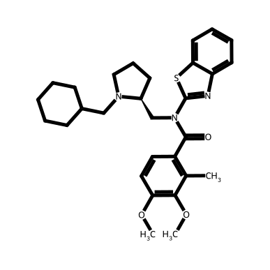 COc1ccc(C(=O)N(C[C@@H]2CCCN2CC2CCCCC2)c2nc3ccccc3s2)c(C)c1OC